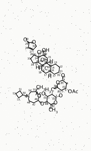 CC(=O)O[C@H]1C[C@H](O[C@H]2[C@@H](OC(C)=O)C[C@H](O[C@H]3CC[C@@]4(C)[C@H](CC[C@@H]5[C@@H]4C[C@@H](O)[C@]4(C)[C@@H](C6=CC(=O)OC6)CC[C@]54O)C3)O[C@@H]2C)O[C@H](C)[C@H]1OC1CCN(C2CCC2)CC(C)O1